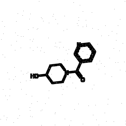 O=C(c1cccnc1)N1CCC(O)CC1